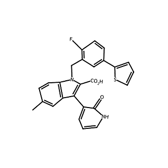 Cc1ccc2c(c1)c(-c1ccc[nH]c1=O)c(C(=O)O)n2Cc1cc(-c2cccs2)ccc1F